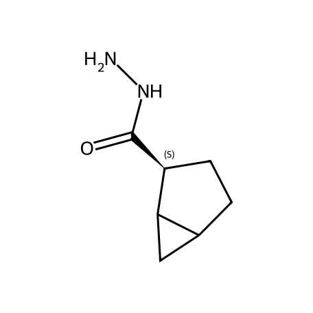 NNC(=O)[C@H]1CCC2CC21